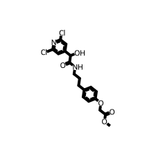 COC(=O)COc1ccc(CCCNC(=O)C(O)c2cc(Cl)nc(Cl)c2)cc1